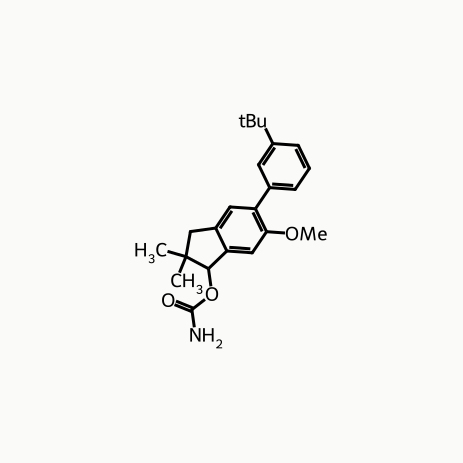 COc1cc2c(cc1-c1cccc(C(C)(C)C)c1)CC(C)(C)C2OC(N)=O